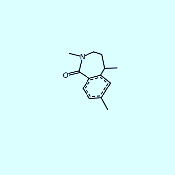 Cc1ccc2c(c1)C(C)CCN(C)C2=O